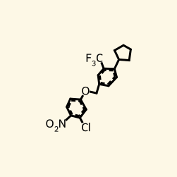 O=[N+]([O-])c1ccc(OCc2ccc(C3CCCC3)c(C(F)(F)F)c2)cc1Cl